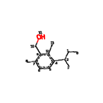 CCC(C)c1ccc(C)c(CO)c1C